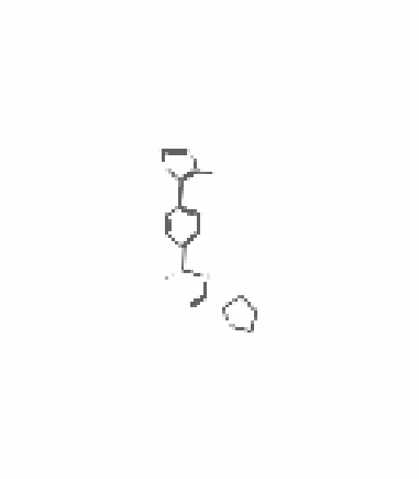 Cc1ncsc1-c1ccc([C@H](C)NC(=O)[C@@H]2CCCN2)cc1